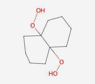 OOC12CCCCC1(OO)CCCC2